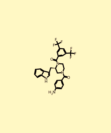 Nc1ccc(C(=O)N2CCN(C(=O)c3cc(C(F)(F)F)cc(C(F)(F)F)c3)[C@H](Cc3c[nH]c4ccccc34)C2)cc1